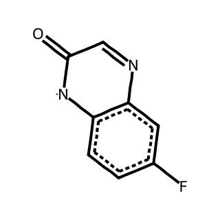 O=C1C=Nc2cc(F)ccc2[N]1